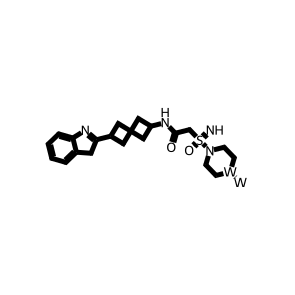 N=S(=O)(CC(=O)NC1CC2(C1)CC(C1=Nc3ccccc3C1)C2)N1C[CH2][W]([W])[CH2]C1